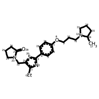 CCc1nc(-c2ccc(OCCCN3CCCC3C)cc2)sc1CN1CCCC1=O